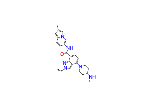 C=Cn1cc2c(N3CCC(NC)CC3)ccc(C(=O)Nc3ccc4cc(C)cn4c3)c2n1